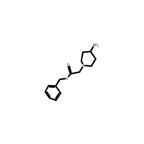 NC1CCN(CC(=O)OCc2ccccc2)CC1